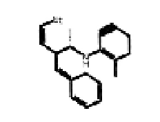 CC/C=C\C(C=C1C=CC=CC1)[C@H](C)NC1=C(C)CCC#C1